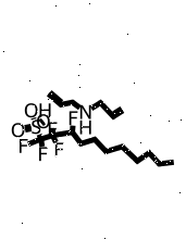 C=CCNCC=C.CCCCCCCCC(F)C(F)(F)C(F)(F)S(=O)(=O)O